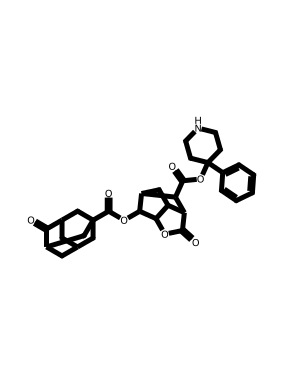 O=C1C2CC3CC1CC(C(=O)OC1C4CC5C1OC(=O)C5C4C(=O)OC1(c4ccccc4)CCNCC1)(C3)C2